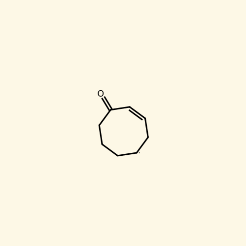 O=C1C=CC[CH]CCC1